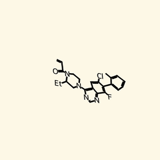 C=CC(=O)N1CCN(c2ncnc3c(F)c(-c4ccccc4C)c(Cl)cc23)CC1CC